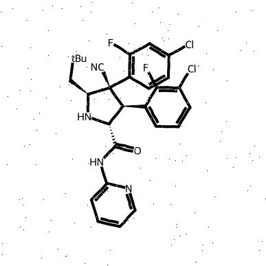 CC(C)(C)C[C@@H]1N[C@@H](C(=O)Nc2ccccn2)[C@H](c2cccc(Cl)c2F)[C@@]1(C#N)c1ccc(Cl)cc1F